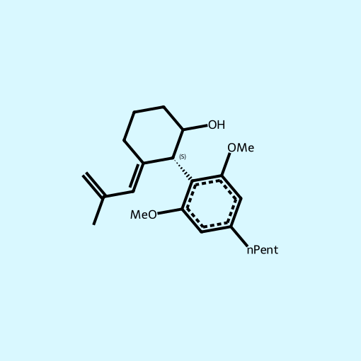 C=C(C)C=C1CCCC(O)[C@@H]1c1c(OC)cc(CCCCC)cc1OC